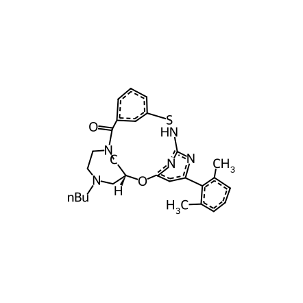 CCCCN1CCN2C[C@@H](C1)Oc1cc(-c3c(C)cccc3C)nc(n1)NSc1cccc(c1)C2=O